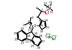 C[C](C)=[Zr+2]([C]1=C(CC(C)O[Si](C)(C)C)C=CC1)[CH]1c2ccccc2-c2ccccc21.[Cl-].[Cl-]